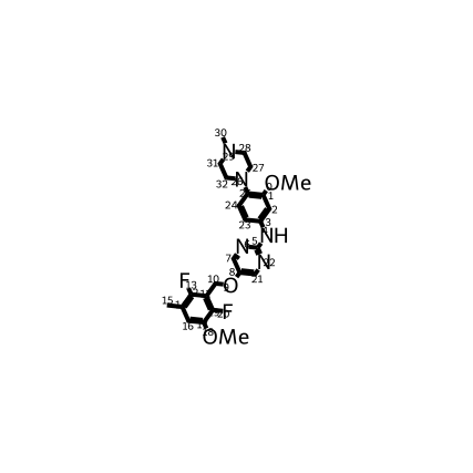 COc1cc(Nc2ncc(OCc3c(F)c(C)cc(OC)c3F)cn2)ccc1N1CCN(C)CC1